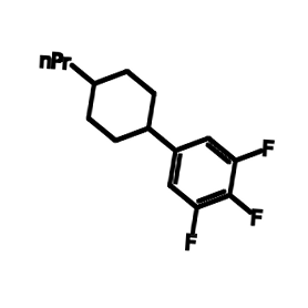 CCCC1CCC(c2cc(F)c(F)c(F)c2)CC1